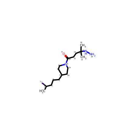 CC(I)CCCC1CCN(C(=O)CCC(C)(C)NN)CC1